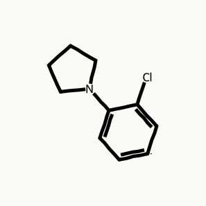 Clc1c[c]ccc1N1CCCC1